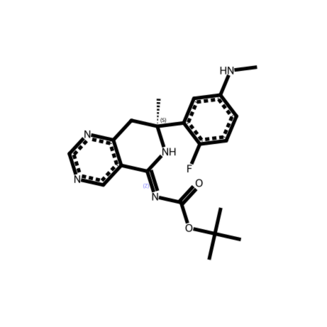 CNc1ccc(F)c([C@]2(C)Cc3ncncc3/C(=N/C(=O)OC(C)(C)C)N2)c1